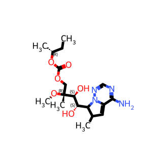 CC[C@@H](C)OC(=O)OC[C@@](C)(OC)[C@@H](O)[C@@H](O)C1C(C)C=C2C(N)=NC=NN21